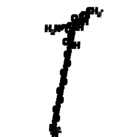 [CH2]c1ccc(NC(=O)[C@H](CCCCN)NC(=O)COCC(=O)NCCOCCOCCOCCOCCOCCOCCOCCOCCN=[N+]=[N-])cc1